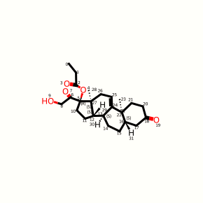 CCC(=O)O[C@]1(C(=O)CO)CC[C@H]2[C@@H]3CC[C@H]4CC(=O)CC[C@]4(C)C3=CC[C@@]21C